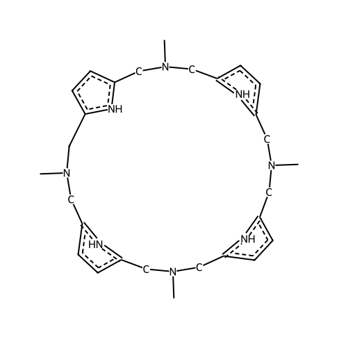 CN1Cc2ccc([nH]2)CN(C)Cc2ccc([nH]2)CN(C)Cc2ccc([nH]2)CN(C)Cc2ccc([nH]2)C1